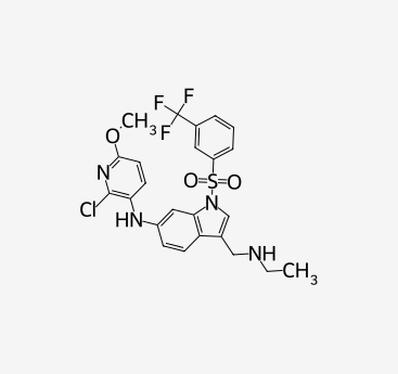 CCNCc1cn(S(=O)(=O)c2cccc(C(F)(F)F)c2)c2cc(Nc3ccc(OC)nc3Cl)ccc12